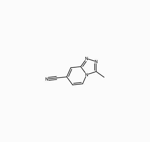 Cc1nnc2cc(C#N)ccn12